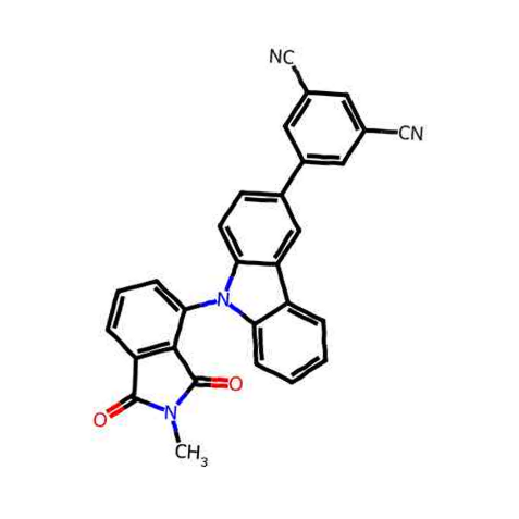 CN1C(=O)c2cccc(-n3c4ccccc4c4cc(-c5cc(C#N)cc(C#N)c5)ccc43)c2C1=O